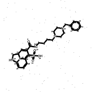 O=C(NCCCCN1CCN(Cc2ccccc2)CC1)C1=CC2CNC3=CC=CC(=C1S(=O)(=O)O)N32